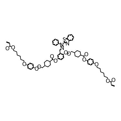 C=CC(=O)OCCCCCCOc1ccc(OOCC2CCC(C(=O)Oc3ccc(OOCC4CCC(C(=O)Oc5ccc(OCCCCCCOC(=O)C=C)cc5)CC4)c(/C=N/N(c4ccccc4)c4nc5ccccc5s4)c3)CC2)cc1